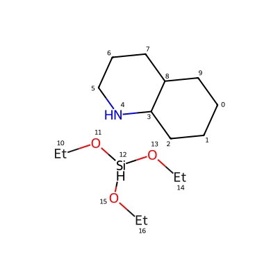 C1CCC2NCCCC2C1.CCO[SiH](OCC)OCC